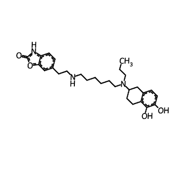 CCCN(CCCCCCNCCc1ccc2[nH]c(=O)oc2c1)C1CCc2c(ccc(O)c2O)C1